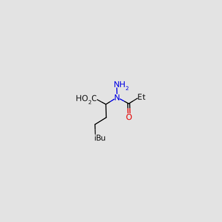 CCC(=O)N(N)C(CCC(C)CC)C(=O)O